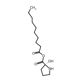 CCCCCCCCCC(=O)OC(=O)[C@]1(O)CCCN1